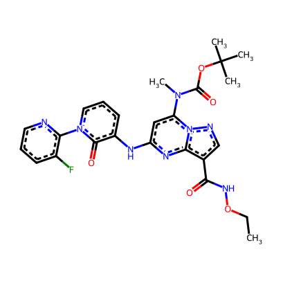 CCONC(=O)c1cnn2c(N(C)C(=O)OC(C)(C)C)cc(Nc3cccn(-c4ncccc4F)c3=O)nc12